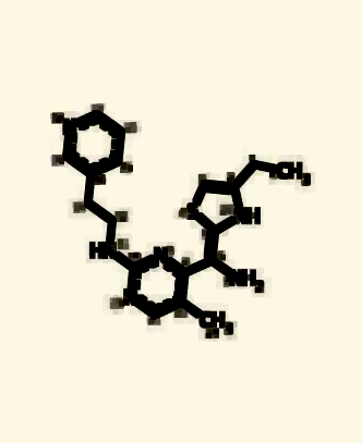 CCC1=CS/C(=C(/N)c2nc(NCCc3cccnc3)ncc2C)N1